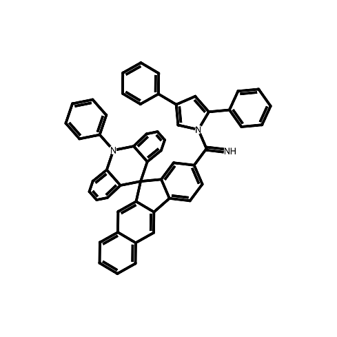 N=C(c1ccc2c(c1)C1(c3cc4ccccc4cc3-2)c2ccccc2N(c2ccccc2)c2ccccc21)n1cc(-c2ccccc2)cc1-c1ccccc1